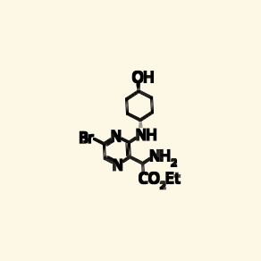 CCOC(=O)C(N)c1ncc(Br)nc1N[C@H]1CC[C@H](O)CC1